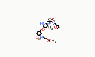 COCCCN1CCOc2ccc(CO[C@@H]3CC[C@@H](CC(C)(C)C(=O)NCC4CCCO4)NC3)cc21